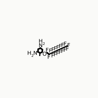 Cc1c(N)cc(N)cc1OC(F)=C(F)C(F)(F)C(F)(F)C(F)(F)C(F)(F)C(F)(F)C(F)(F)C(F)(F)F